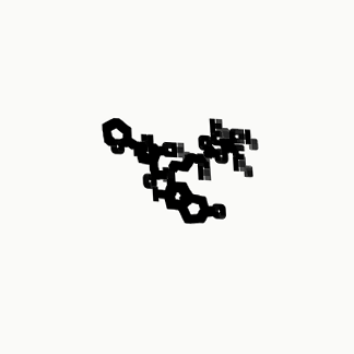 Cc1nn(C2CCCCO2)cc1C(=O)N(CCCNC(=O)OC(C)(C)C)c1cc2c(cc1I)CCC(=O)C2